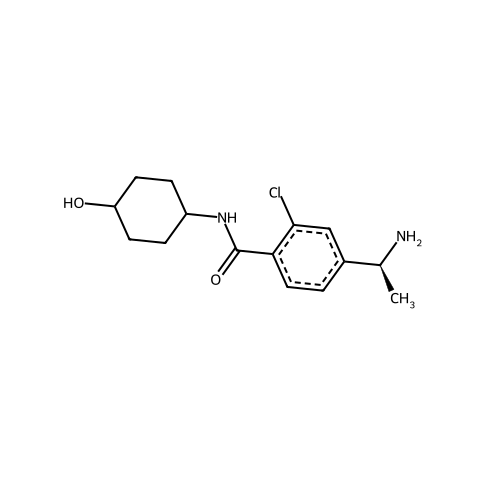 C[C@H](N)c1ccc(C(=O)NC2CCC(O)CC2)c(Cl)c1